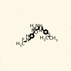 CC(F)CNCc1ccc(-c2nnc(-c3nc(-c4ccc(SC(C)C)cc4)cnc3N)o2)cc1